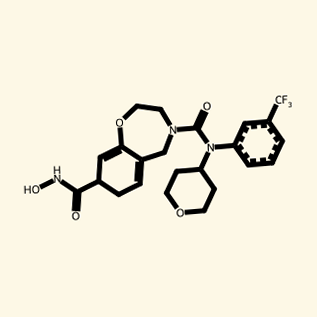 O=C(NO)C1C=C2OCCN(C(=O)N(c3cccc(C(F)(F)F)c3)C3CCOCC3)CC2=CC1